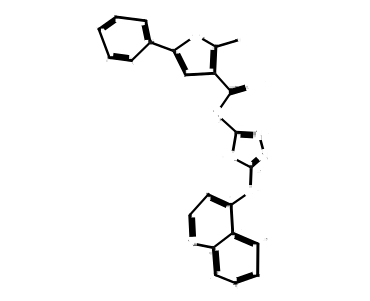 Cc1oc(-c2ccccc2)cc1C(=O)Nc1nnc(Sc2ccnc3ccccc23)s1